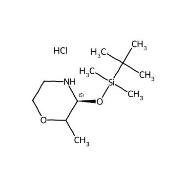 CC1OCCN[C@H]1O[Si](C)(C)C(C)(C)C.Cl